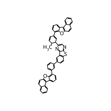 CC1C=CC(c2cccc3c2oc2ccc4ccccc4c23)=CC1c1cnc2sc3ccc(-c4cccc(-c5cccc6c5oc5ccc7ccccc7c56)c4)cc3c2n1